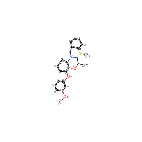 CC(C)C(O)CN(Cc1ccccc1SC(F)(F)F)c1cccc(Oc2cccc(OC(F)(F)F)c2)c1